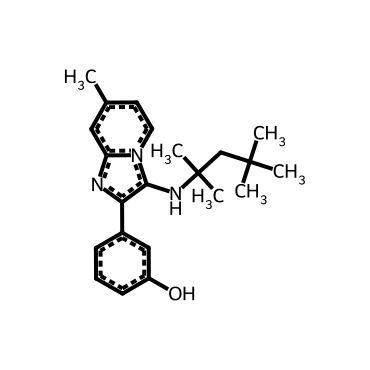 Cc1ccn2c(NC(C)(C)CC(C)(C)C)c(-c3cccc(O)c3)nc2c1